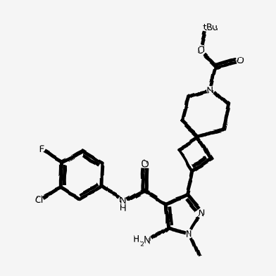 Cn1nc(C2=CC3(CCN(C(=O)OC(C)(C)C)CC3)C2)c(C(=O)Nc2ccc(F)c(Cl)c2)c1N